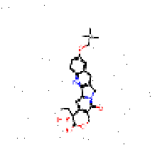 CC[C@@]1(O)C(=O)OCc2c1cc1n(c2=O)Cc2cc3cc(OC[Si](C)(C)C)ccc3nc2-1